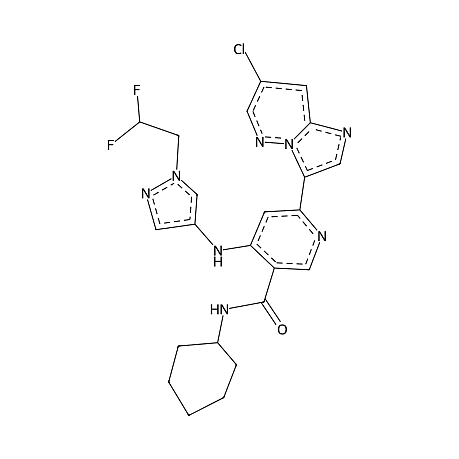 O=C(NC1CCCCC1)c1cnc(-c2cnc3cc(Cl)cnn23)cc1Nc1cnn(CC(F)F)c1